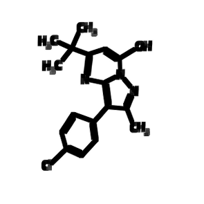 Cc1nn2c(O)cc(C(C)(C)C)nc2c1-c1ccc(Cl)cc1